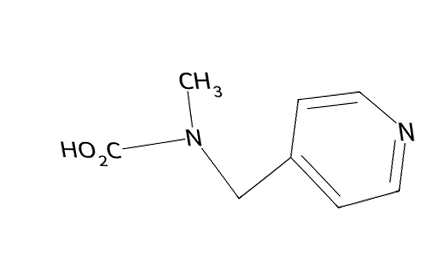 CN(Cc1ccncc1)C(=O)O